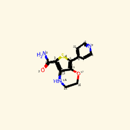 NC(=O)c1sc(-c2ccncc2)c2c1NCCO2